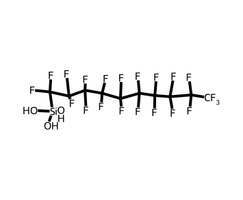 O[Si](O)(O)C(F)(F)C(F)(F)C(F)(F)C(F)(F)C(F)(F)C(F)(F)C(F)(F)C(F)(F)C(F)(F)C(F)(F)F